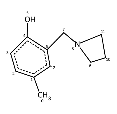 Cc1ccc(O)c(CN2CCC2)c1